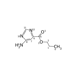 CCCOC(=O)c1cc(N)ncn1